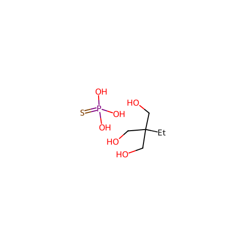 CCC(CO)(CO)CO.OP(O)(O)=S